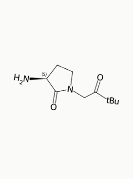 CC(C)(C)C(=O)CN1CC[C@H](N)C1=O